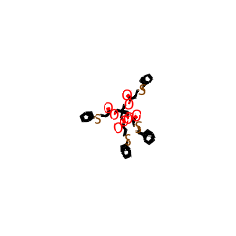 O=C(CCSC1CC2C=CC1C2)OCC(COC(=O)CCSC1CC2C=CC1C2)(COC(=O)CCSC1CC2C=CC1C2)COC(=O)CSCC1CC2C=CC1C2